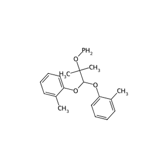 Cc1ccccc1OC(Oc1ccccc1C)C(C)(C)OP